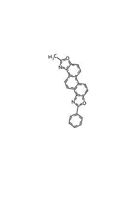 Cc1nc2c(ccc3c4ccc5oc(-c6ccccc6)nc5c4ccc32)o1